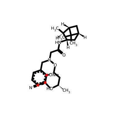 COc1c(I)cccc1CN(CC(=O)N[C@H]1C[C@H]2C[C@@H]([C@@H]1C)C2(C)C)O[C@@H](CN=[N+]=[N-])C[C@H](C)O